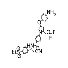 CCS(=O)(=O)c1ccc([C@H](CC#N)NC(=O)c2ccc(N3C[C@@H](Oc4ccc(N)cc4)C[C@H]3COC(F)F)cc2)cc1